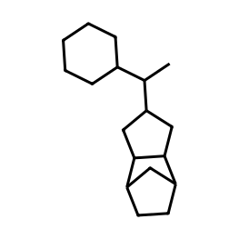 CC(C1CCCCC1)C1CC2C3CCC(C3)C2C1